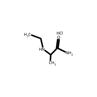 CCNC(C)C(N)=O.Cl